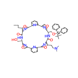 CCCc1oc2nc1C(=O)NC(CO)c1nc(co1)-c1cccc(n1)-c1nc(c(CCN(C)C)o1)C(=O)NC(CO[Si](c1ccccc1)(c1ccccc1)C(C)(C)C)c1nc(co1)-c1cccc-2n1